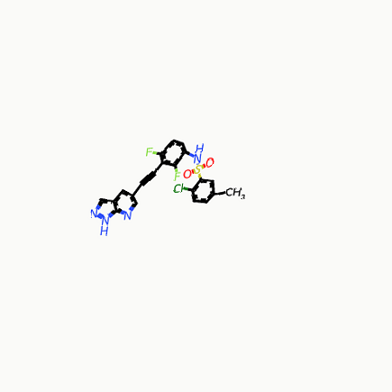 Cc1ccc(Cl)c(S(=O)(=O)Nc2ccc(F)c(C#Cc3cnc4[nH]ncc4c3)c2F)c1